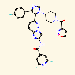 O=C(Nc1cn2nc(-c3c(-c4ccc(F)cc4)ncn3C3CCN(C(=O)c4ccon4)CC3)ccc2n1)c1cc(F)nc(F)c1